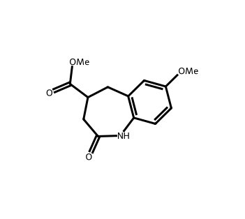 COC(=O)C1CC(=O)Nc2ccc(OC)cc2C1